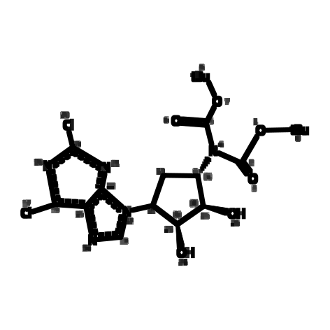 CC(C)(C)OC(=O)N(C(=O)OC(C)(C)C)[C@H]1CC(n2cnc3c(Cl)nc(Cl)nc32)[C@H](O)[C@@H]1O